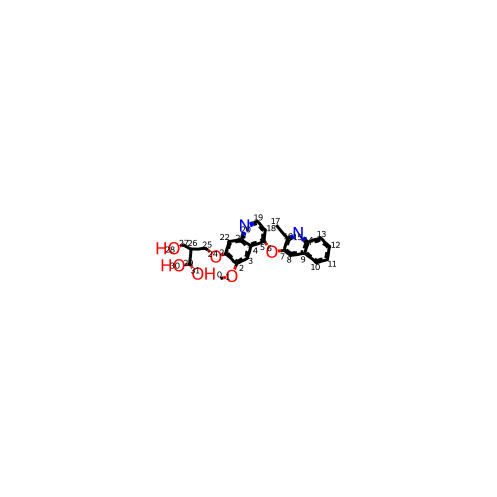 COc1cc2c(Oc3cc4ccccc4nc3C)ccnc2cc1OCC(CO)C(O)O